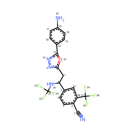 N#Cc1ccc(C(Cc2nnc(-c3ccc(N)cc3)o2)NC(F)(F)F)cc1C(F)(F)F